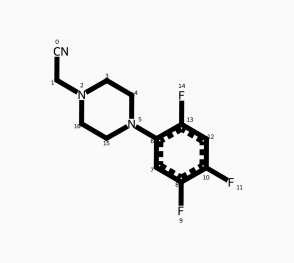 N#CCN1CCN(c2cc(F)c(F)cc2F)CC1